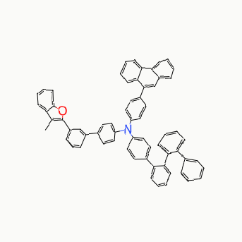 Cc1c(-c2cccc(-c3ccc(N(c4ccc(-c5ccccc5-c5ccccc5-c5ccccc5)cc4)c4ccc(-c5cc6ccccc6c6ccccc56)cc4)cc3)c2)oc2ccccc12